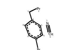 C#N.CC(C)Cc1ccc(Br)cc1